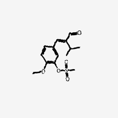 COc1ccc(/C=C(/C=O)C(C)C)cc1OS(C)(=O)=O